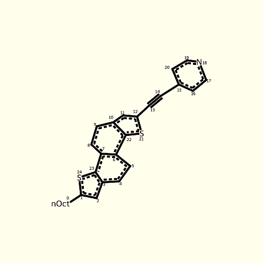 CCCCCCCCc1cc2ccc3c(ccc4cc(C#Cc5ccncc5)sc43)c2s1